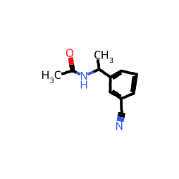 CC(=O)NC(C)c1cccc(C#N)c1